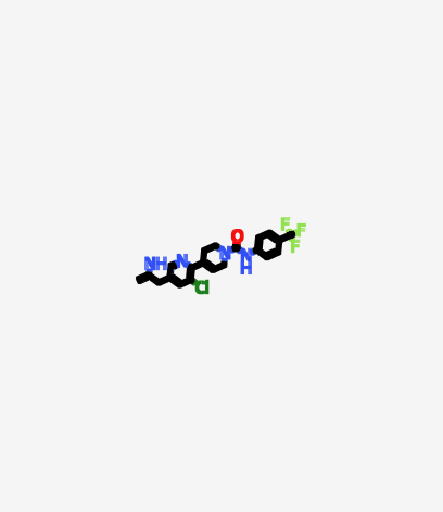 C=C(N)Cc1cnc(C2=CCN(C(=O)Nc3ccc(C(F)(F)F)cc3)CC2)c(Cl)c1